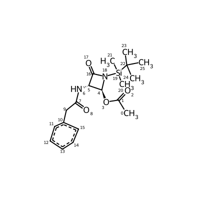 CC(=O)O[C@H]1[C@H](NC(=O)Cc2ccccc2)C(=O)N1[Si](C)(C)C(C)(C)C